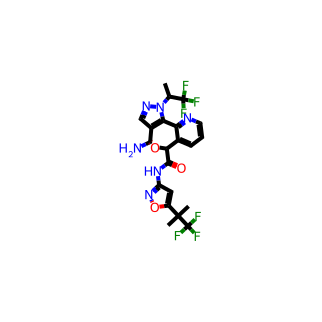 CC(C(=O)Nc1cc(C(C)(C)C(F)(F)F)on1)c1cccnc1-c1c(C(N)=O)cnn1C(C)C(F)(F)F